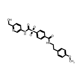 COc1ccc(CCNC(=O)c2ccc(S(=O)(=O)C(=O)Nc3ccc(CO)nc3)cc2)cc1